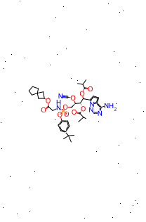 CC(C)C(=O)O[C@H]([C@@H](COP(=O)(NCC(=O)OC1CC2(CCCC2)C1)Oc1ccc(C(C)(C)C)cc1)OC#N)[C@@H](OC(=O)C(C)C)c1ccc2c(N)ncnn12